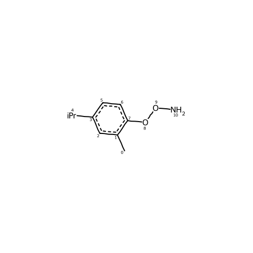 Cc1cc(C(C)C)ccc1OON